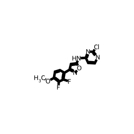 COc1ccc(-c2cc(Nc3ccnc(Cl)n3)on2)c(F)c1F